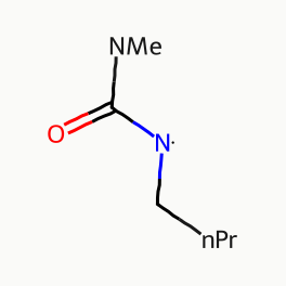 CCCC[N]C(=O)NC